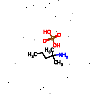 CCCC(C)(C)N.O=S(=O)(O)O